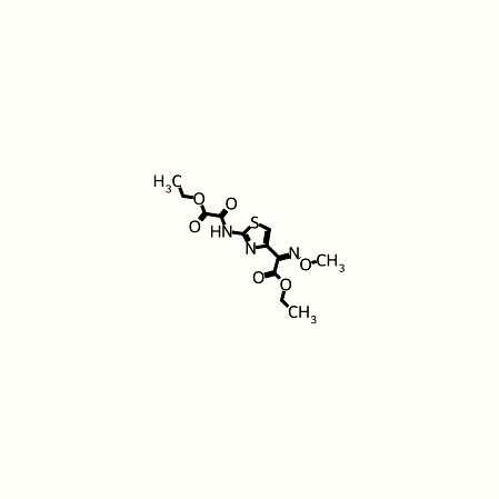 CCOC(=O)C(=O)Nc1nc(C(=NOC)C(=O)OCC)cs1